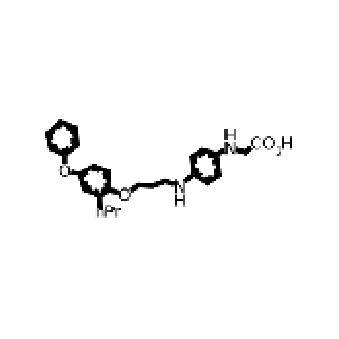 CCCc1cc(Oc2ccccc2)ccc1OCCCNc1ccc(NCC(=O)O)cc1